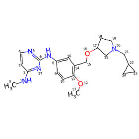 CNc1ccnc(Nc2ccc(OC)c(COC3CCN(CC4CC4)C3)c2)n1